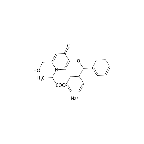 CC(C(=O)[O-])n1cc(OC(c2ccccc2)c2ccccc2)c(=O)cc1CO.[Na+]